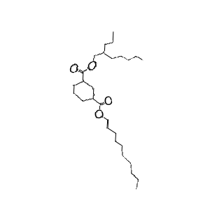 CCCCCCCCCCOC(=O)C1CCCC(C(=O)OCC(CCC)CCCCC)C1